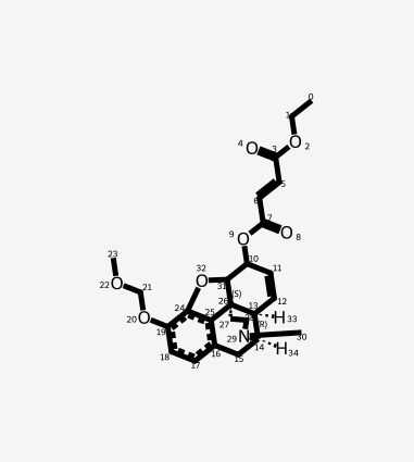 CCOC(=O)C=CC(=O)OC1C=C[C@H]2[C@H]3Cc4ccc(OCOC)c5c4[C@@]2(CCN3C)C1O5